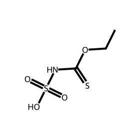 CCOC(=S)NS(=O)(=O)O